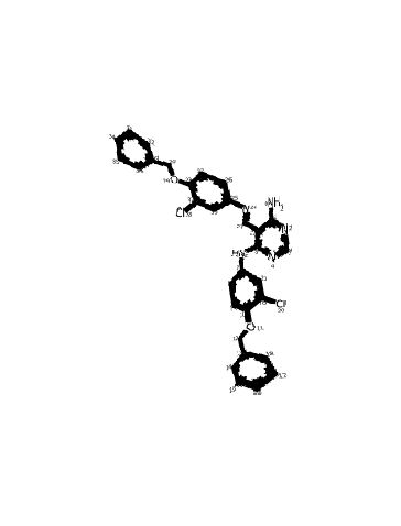 Nc1ncnc(Nc2ccc(OCc3ccccc3)c(Cl)c2)c1C=Nc1ccc(OCc2ccccc2)c(Cl)c1